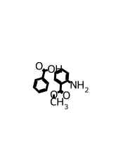 COC(=O)c1ccccc1N.O=C(O)c1ccccc1